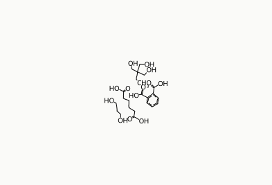 CCC(CO)(CO)CO.O=C(O)CCCCC(=O)O.O=C(O)c1ccccc1C(=O)O.OCCCO